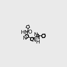 O=C(Nc1cncc(-c2ccnc(-c3ncc(-c4ccccc4)[nH]3)c2)c1)C1CCCC1